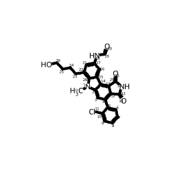 Cn1c2cc(-c3ccccc3Cl)c3c(c2c2cc(NC=O)cc(CCCCO)c21)C(=O)NC3=O